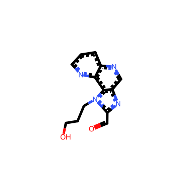 O=Cc1nc2cnc3cccnc3c2n1CCCO